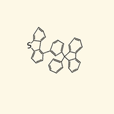 c1ccc(C2(c3cccc(-c4cccc5sc6ccccc6c45)c3)c3ccccc3-c3ccccc32)cc1